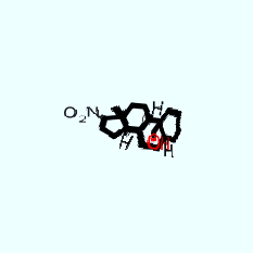 CC12CC[C@H]3C(CC[C@H]4CCCCC43CO)[C@@H]1CCC2[N+](=O)[O-]